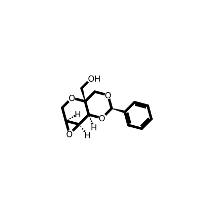 OC[C@@]12CO[C@@H](c3ccccc3)O[C@H]1[C@H]1O[C@H]1CO2